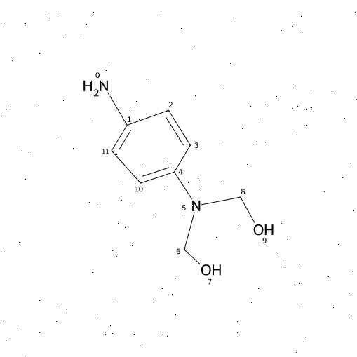 Nc1ccc(N(CO)CO)cc1